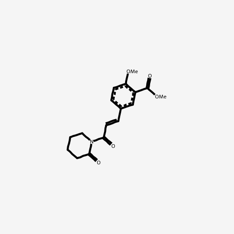 COC(=O)c1cc(/C=C/C(=O)N2CCCCC2=O)ccc1OC